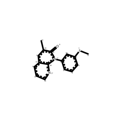 CSc1cccc(-n2c(=O)c(C)cc3cccnc32)c1